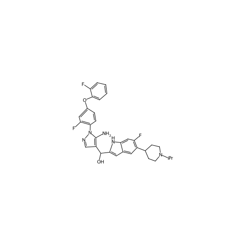 CC(C)N1CCC(c2cc3cc(C(O)c4cnn(-c5ccc(Oc6ccccc6F)cc5F)c4N)[nH]c3cc2F)CC1